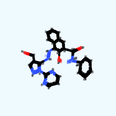 O=Cc1cnn(-c2ncccn2)c1/N=N/c1c(O)c(C(=O)Nc2ccccc2)cc2ccccc12